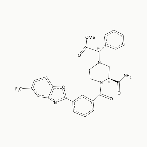 COC(=O)[C@H](c1ccccc1)N1CCN(C(=O)c2cccc(-c3nc4cc(C(F)(F)F)ccc4o3)c2)[C@H](C(N)=O)C1